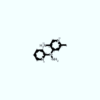 Cc1cc(N(N)c2ccccn2)c(N)cn1